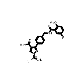 COc1ccc(F)cc1C(=O)NCc1ccc(-c2nn([C@@H](C)C(F)(F)F)cc2C(N)=O)cc1